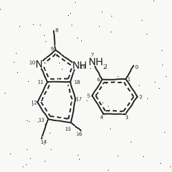 Cc1ccccc1N.Cc1nc2cc(C)c(C)cc2[nH]1